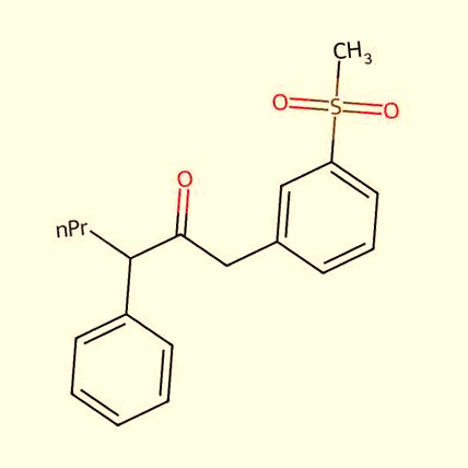 CCCC(C(=O)Cc1cccc(S(C)(=O)=O)c1)c1ccccc1